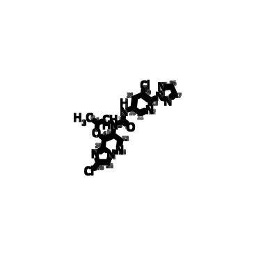 CC(C)Oc1c(NC(=O)Nc2cnc(-n3nccn3)c(Cl)c2)cnn2cc(Cl)nc12